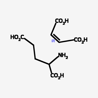 NC(CCC(=O)O)C(=O)O.O=C(O)/C=C\C(=O)O